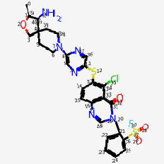 C[C@@H]1OCC2(CCN(c3cnc(Sc4ccc5ncn(Cc6ccccc6S(=O)(=O)F)c(=O)c5c4Cl)cn3)CC2)[C@@H]1N